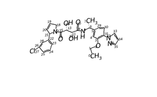 CCOc1cc([C@@H](C)NC(=O)[C@H](O)[C@@H](O)C(=O)N2CC=CC2c2cccc(Cl)c2)ccc1-n1cccn1